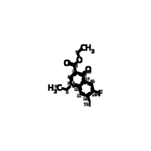 CCOC(=O)c1cn(CC)c2cc(I)c(F)cc2c1=O